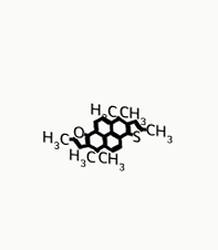 Cc1cc2c(o1)-c1ccc3c4c(ccc(c14)C2(C)C)-c1sc(C)cc1C3(C)C